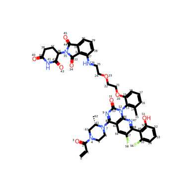 C=CC(=O)N1CCN(c2nc(=O)n(-c3c(C)cccc3OCCOCCNc3cccc4c3C(=O)N(C3CCC(=O)NC3=O)C4=O)c3nc(-c4c(O)cccc4F)c(F)cc23)[C@@H](C)C1